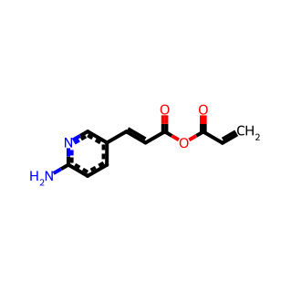 C=CC(=O)OC(=O)/C=C/c1ccc(N)nc1